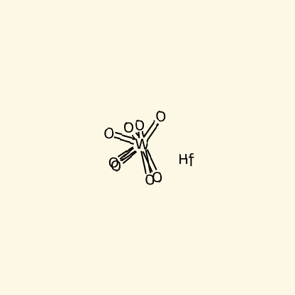 [Hf].[O]=[W](=[O])(=[O])(=[O])(=[O])(=[O])(=[O])=[O]